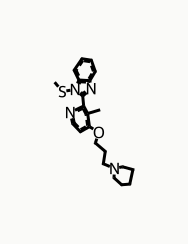 CSn1c(-c2nccc(OCCCN3CCCCC3)c2C)nc2ccccc21